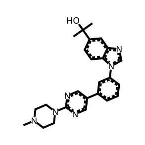 CN1CCN(c2ncc(-c3cccc(-n4cnc5cc(C(C)(C)O)ccc54)c3)cn2)CC1